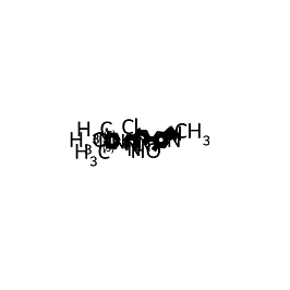 C[C@H]1CN(c2cnc3nc(-c4cc5cn(C)nc5cc4O)cc(Cl)c3c2)C[C@H](C)N1C